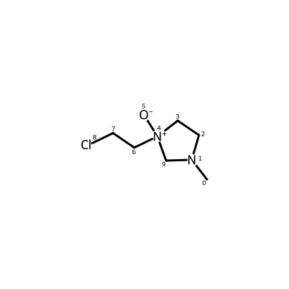 CN1CC[N+]([O-])(CCCl)C1